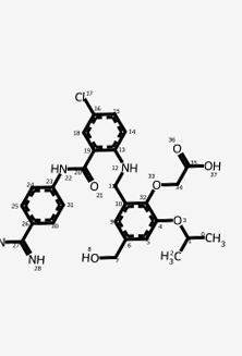 CC(C)Oc1cc(CO)cc(CNc2ccc(Cl)cc2C(=O)Nc2ccc(C(=N)N)cc2)c1OCC(=O)O